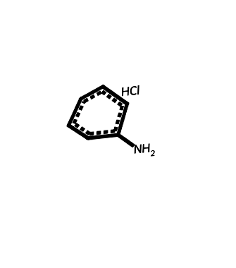 Cl.Nc1ccccc1